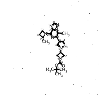 Cc1c(-c2cnn(C3CN(C(=O)OC(C)(C)C)C3)c2)nc(N2CC[C@@H]2C)c2ncnn12